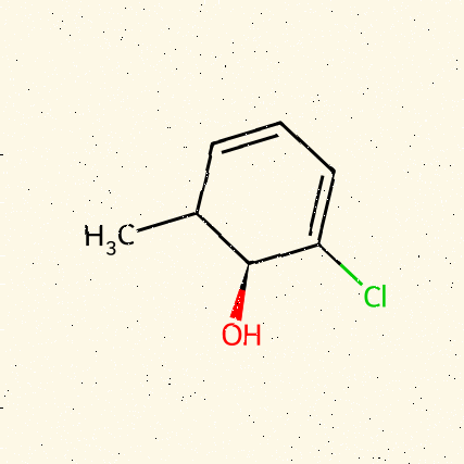 CC1C=CC=C(Cl)[C@H]1O